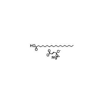 CCCCCCCCCCCCCCCCCC(=O)O.O=C([O-])C=CC(=O)[O-].[Mg+2]